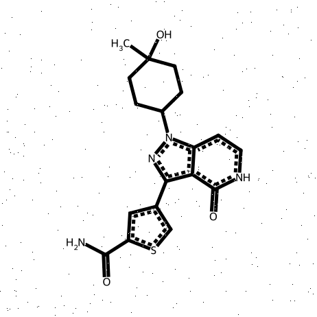 CC1(O)CCC(n2nc(-c3csc(C(N)=O)c3)c3c(=O)[nH]ccc32)CC1